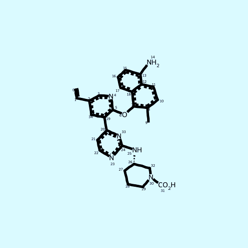 C=Cc1cnc(Oc2c(C)ccc3c(N)cccc23)c(-c2ccnc(N[C@H]3CCCN(C(=O)O)C3)n2)c1